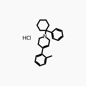 Cc1ccccc1C1=CCN(C2(c3ccccc3)CCCCC2)CC1.Cl